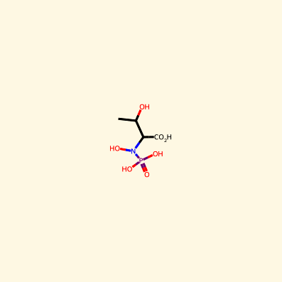 CC(O)C(C(=O)O)N(O)P(=O)(O)O